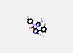 Cc1ncc(C(=O)NC2CCC(F)(F)CC2)c(N2CC[C@H](N)C2)c1-c1cc(F)cc(F)c1